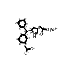 CC(=O)[O-].CC(=O)[O-].[Pd+2].c1ccc(C(c2ccccc2)[C@H]2CCCN2)cc1